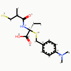 CC[C@](NC(=O)C(C)CS)(SCc1ccc(N(C)C)cc1)C(=O)O